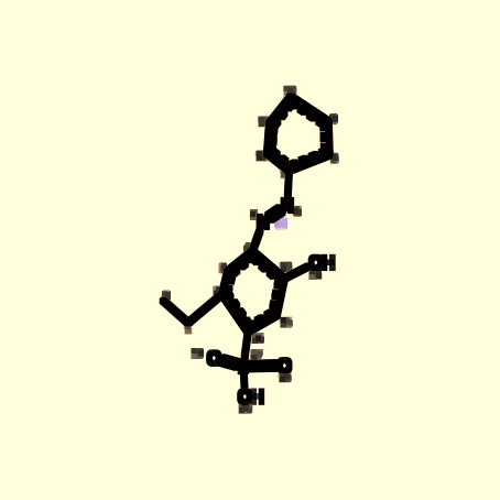 CCc1cc(/N=N/c2ccccc2)c(O)cc1S(=O)(=O)O